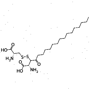 CCCCCCCCCCCCCCCC(=O)C(SSC[C@H](N)C(=O)O)[C@H](N)C(=O)O